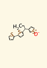 C=CC(c1cc[s+]([O-])c1)c1ccc(-c2cccs2)s1